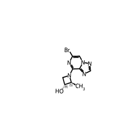 C[C@H]1[C@H](O)CN1c1nc(Br)cn2ncnc12